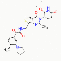 Cc1ccc(C(=O)C(=O)NCc2scc3c(=O)n(C4CCC(=O)NC4=O)c(C)nc23)cc1N1CCCC1